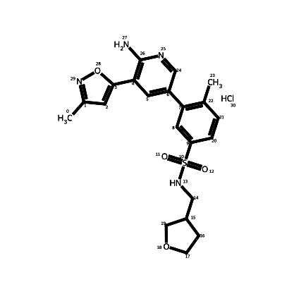 Cc1cc(-c2cc(-c3cc(S(=O)(=O)NCC4CCOC4)ccc3C)cnc2N)on1.Cl